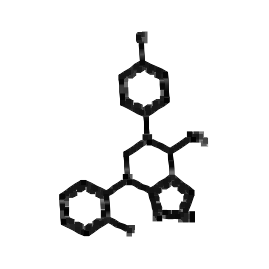 NC1c2c[nH]nc2N(c2ccccc2F)CN1c1ccc(Cl)cc1